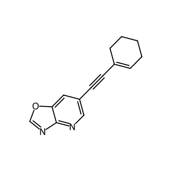 C(#Cc1cnc2ncoc2c1)C1=CCCCC1